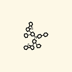 c1ccc(-c2ccc(N(c3ccc(-c4cccc5c4sc4ccccc45)c(-c4ccccc4)c3)c3ccc(-c4cccc5c4sc4ccccc45)c(-c4ccccc4)c3)cc2)cc1